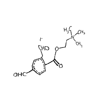 C[N+](C)(C)CCOC(=O)c1ccc(C=O)cc1C=O.[I-]